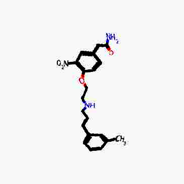 Cc1cccc(CCCNCCOc2ccc(CC(N)=O)cc2[N+](=O)[O-])c1